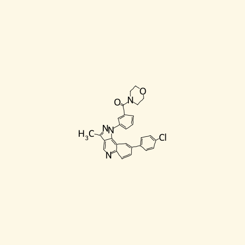 Cc1nn(-c2cccc(C(=O)N3CCOCC3)c2)c2c1cnc1ccc(-c3ccc(Cl)cc3)cc12